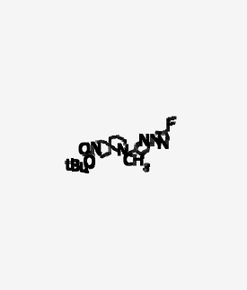 CC(c1ccc(-n2cc(F)cn2)nc1)N1CCCC2(CCN(C(=O)OC(C)(C)C)CC2)C1